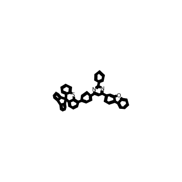 c1ccc(-c2nc(-c3ccc(-c4cccc5c4Sc4ccccc4C54c5ccccc5-c5ccccc54)cc3)cc(-c3ccc4c(c3)oc3ccccc34)n2)cc1